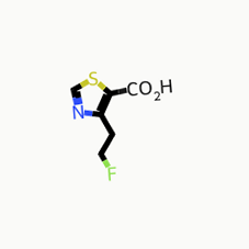 O=C(O)c1scnc1CCF